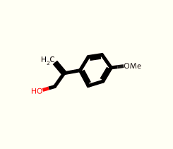 C=C(CO)c1ccc(OC)cc1